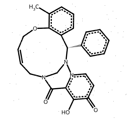 Cc1cccc2c1OC/C=C\CN1CN([C@H]2c2ccccc2)n2ccc(=O)c(O)c2C1=O